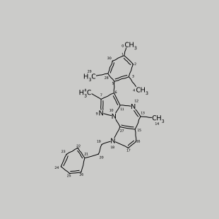 Cc1cc(C)c(-c2c(C)nn3c2nc(C)c2ccn(CCc4ccccc4)c23)c(C)c1